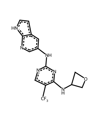 FC(F)(F)c1cnc(Nc2cnc3[nH]ccc3c2)nc1NC1COC1